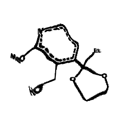 CCC1(c2ccnc(OC)c2CO)OCCO1